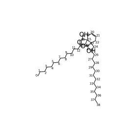 CCCCCCCCCCCCCCCC1(C(=O)O)CC=CCC1(CCCCCCCCCCCCCCC)C(=O)O